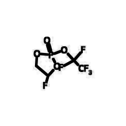 O=P1(OC(F)(F)C(F)(F)F)OCC(F)O1